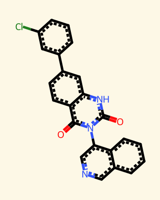 O=c1[nH]c2cc(-c3cccc(Cl)c3)ccc2c(=O)n1-c1cncc2ccccc12